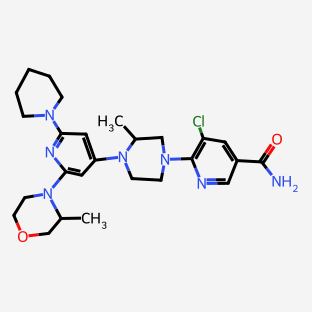 CC1CN(c2ncc(C(N)=O)cc2Cl)CCN1c1cc(N2CCCCC2)nc(N2CCOCC2C)c1